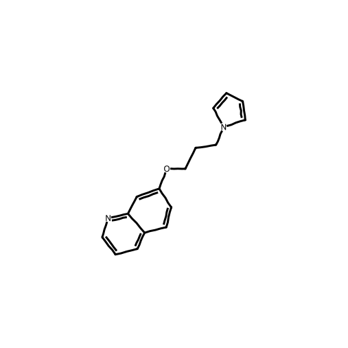 c1cnc2cc(OCCCn3cccc3)ccc2c1